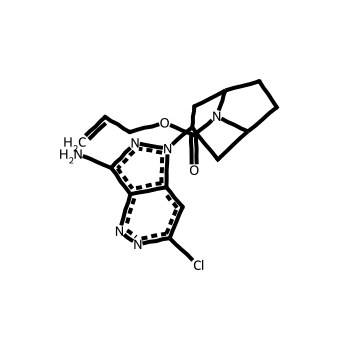 C=CCOC(=O)N1C2CCC1CC(n1nc(N)c3nnc(Cl)cc31)C2